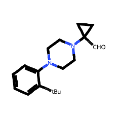 CC(C)(C)c1ccccc1N1CCN(C2(C=O)CC2)CC1